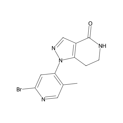 Cc1cnc(Br)cc1-n1ncc2c1CCNC2=O